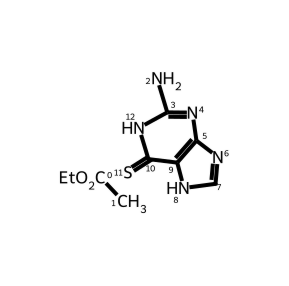 CCOC(C)=O.Nc1nc2nc[nH]c2c(=S)[nH]1